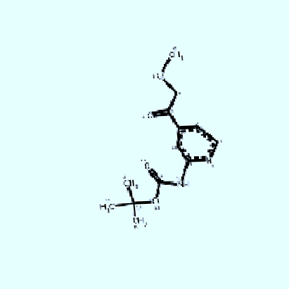 COCC(=O)c1ccnc(NC(=O)OC(C)(C)C)c1